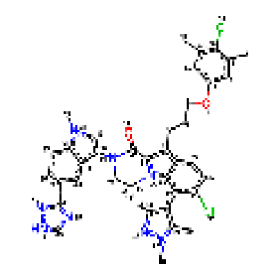 Cc1cc(OCCCc2c3n(c4c(-c5c(C)nn(C)c5C)c(Cl)ccc24)[C@H](C)CN(c2cn(C)c4ccc(-c5nc[nH]n5)cc24)C3=O)cc(C)c1Cl